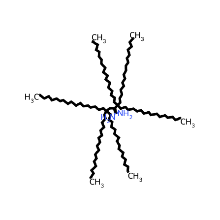 CCCCCCCCCCCCCCCCCCC(CCCCCCCCCCCCCCCCC)(CCCCCCCCCCCCCCCCCC)CC(=C(N)N)C(CCCCCCCCCCCCCCCCC)(CCCCCCCCCCCCCCCCCC)CCCCCCCCCCCCCCCCCC